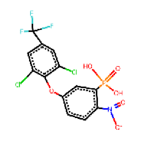 O=[N+]([O-])c1ccc(Oc2c(Cl)cc(C(F)(F)F)cc2Cl)cc1P(=O)(O)O